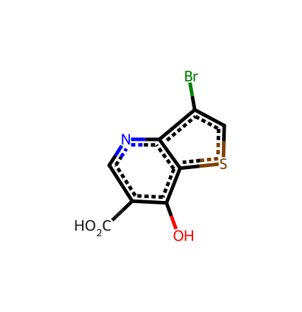 O=C(O)c1cnc2c(Br)csc2c1O